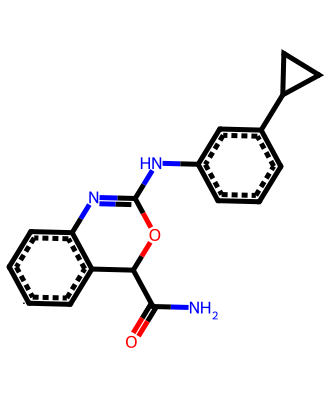 NC(=O)C1OC(Nc2cccc(C3CC3)c2)=Nc2cc[c]cc21